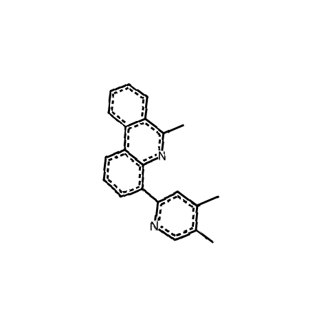 Cc1cnc(-c2cccc3c2nc(C)c2ccccc23)cc1C